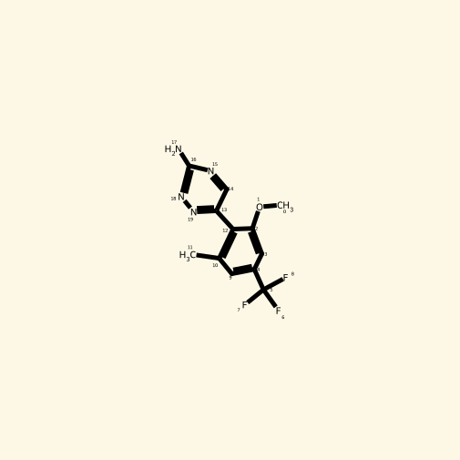 COc1cc(C(F)(F)F)cc(C)c1-c1cnc(N)nn1